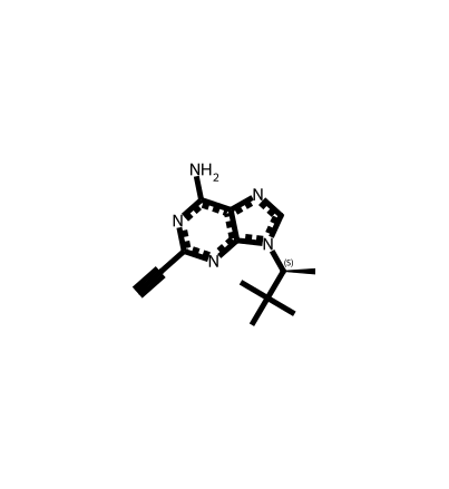 C#Cc1nc(N)c2ncn([C@@H](C)C(C)(C)C)c2n1